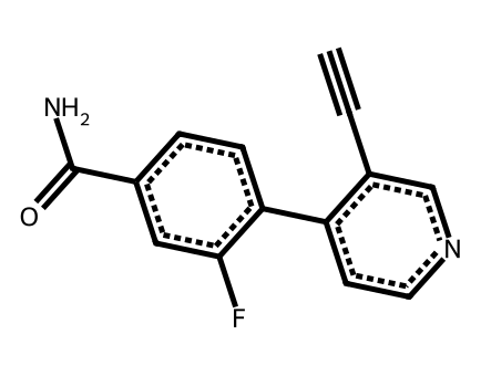 C#Cc1cnccc1-c1ccc(C(N)=O)cc1F